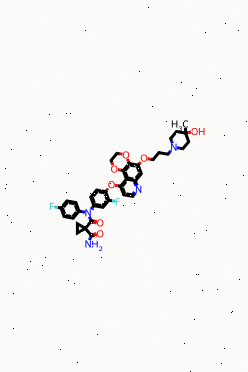 CC1(O)CCN(CCCOc2cc3nccc(Oc4ccc(N(C(=O)C5(C(N)=O)CC5)c5ccc(F)cc5)cc4F)c3c3c2OCCO3)CC1